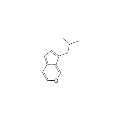 C[C](C)Cc1ccc2ccocc1-2